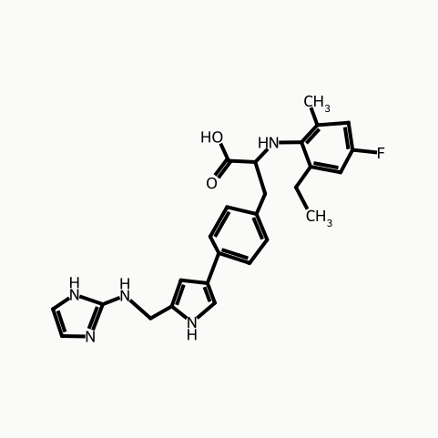 CCc1cc(F)cc(C)c1NC(Cc1ccc(-c2c[nH]c(CNc3ncc[nH]3)c2)cc1)C(=O)O